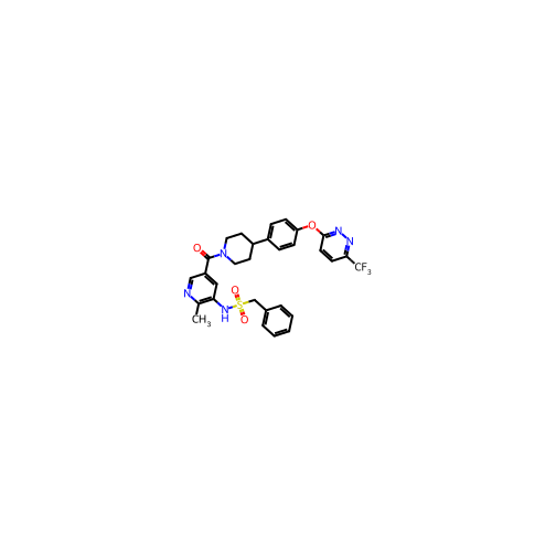 Cc1ncc(C(=O)N2CCC(c3ccc(Oc4ccc(C(F)(F)F)nn4)cc3)CC2)cc1NS(=O)(=O)Cc1ccccc1